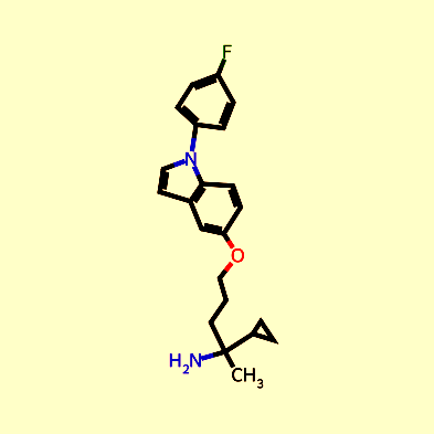 CC(N)(CCCOc1ccc2c(ccn2-c2ccc(F)cc2)c1)C1CC1